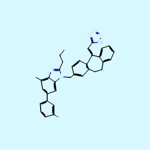 CCCc1nc2c(C)cc(-c3cccc(Cl)c3)cc2n1Cc1ccc2c(c1)CCc1ccccc1C2=Cc1nnn[nH]1